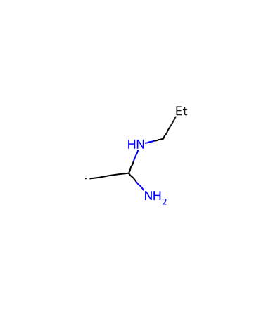 [CH2]C(N)NCCC